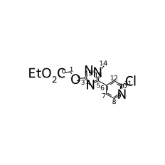 CCOC(=O)COc1nc(-c2ccnc(Cl)c2)n(C)n1